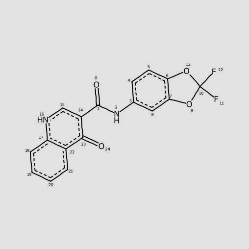 O=C(Nc1ccc2c(c1)OC(F)(F)O2)c1c[nH]c2ccccc2c1=O